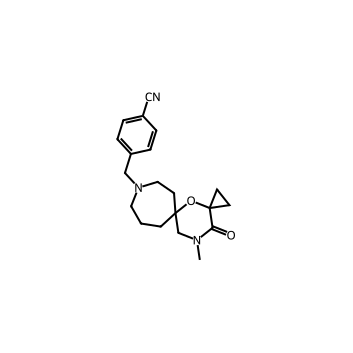 CN1CC2(CCCN(Cc3ccc(C#N)cc3)CC2)OC2(CC2)C1=O